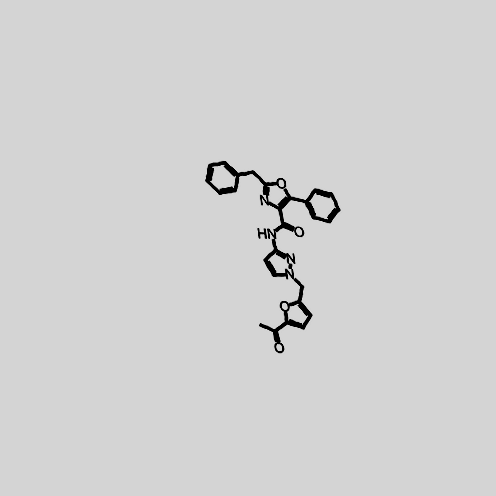 CC(=O)c1ccc(Cn2ccc(NC(=O)c3nc(Cc4ccccc4)oc3-c3ccccc3)n2)o1